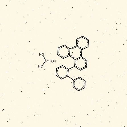 OB(O)O.c1ccc(-c2ccccc2-c2cccc3c4ccccc4c4ccccc4c23)cc1